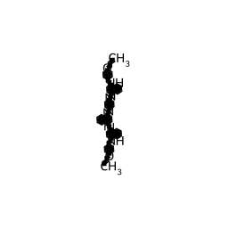 CCCCOc1ccc(CNc2ccc(N=Nc3ccc(N=Nc4ccc(N=Nc5ccc(NCc6ccc(OCCCC)cc6)c6ccccc56)c5ccccc45)cc3)c3ccccc23)cc1